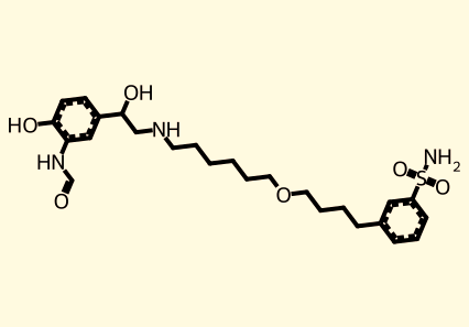 NS(=O)(=O)c1cccc(CCCCOCCCCCCNCC(O)c2ccc(O)c(NC=O)c2)c1